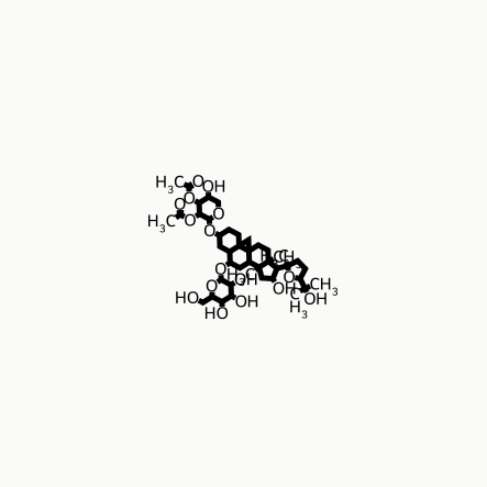 CC(=O)OC1C(O)COC(OC2CCC34CC35CCC3(C)C(C6(C)CCC(C(C)(C)O)O6)C(O)CC3(C)C5CC(OC3OC(CO)C(O)C(O)C3O)C4C2)C1OC(C)=O